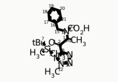 C[C@@H]([C@H](O[Si](C)(C)C(C)(C)C)c1nnn(C)n1)N(Cc1ccccc1)C(=O)O